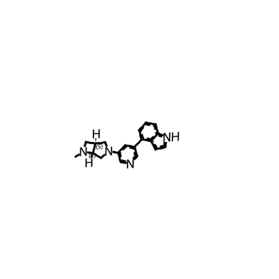 CN1C[C@H]2CN(c3cncc(-c4cccc5[nH]ccc45)c3)C[C@@H]21